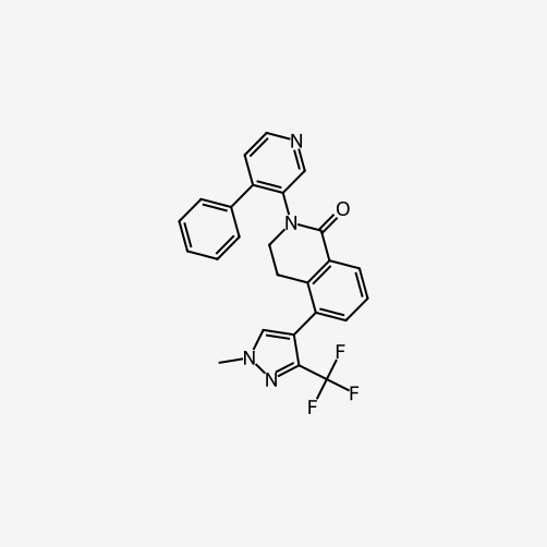 Cn1cc(-c2cccc3c2CCN(c2cnccc2-c2ccccc2)C3=O)c(C(F)(F)F)n1